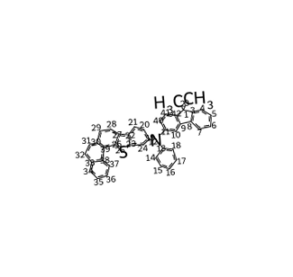 CC1(C)c2ccccc2-c2cc(N(c3ccccc3)c3ccc4c(c3)sc3c4ccc4ccc5ccccc5c43)ccc21